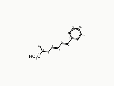 CC(CC=CC=Cc1ccccc1)C(=O)O